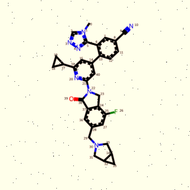 Cn1cnnc1-c1cc(C#N)ccc1-c1cc(C2CC2)nc(N2Cc3c(F)cc(CN4CC5CC5C4)cc3C2=O)c1